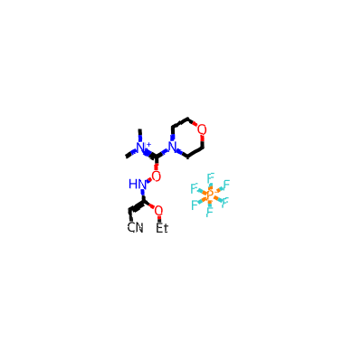 CCOC(=CC#N)NOC(N1CCOCC1)=[N+](C)C.F[P-](F)(F)(F)(F)F